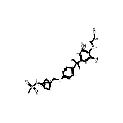 CC(C)(c1ccc(OCC23CC(C2)C(NS(C)(=O)=O)C3)cc1)c1cc(Cl)c(OCCCl)c(C#N)c1